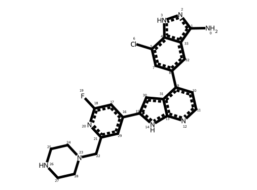 Nc1n[nH]c2c(Cl)cc(-c3ccnc4[nH]c(-c5cc(F)nc(CN6CCNCC6)c5)cc34)cc12